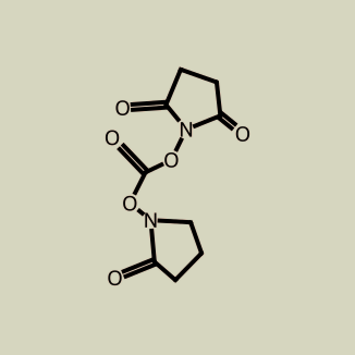 O=C(ON1CCCC1=O)ON1C(=O)CCC1=O